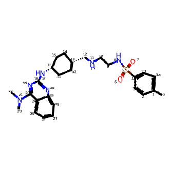 Cc1ccc(S(=O)(=O)NCCNC[C@H]2CC[C@@H](Nc3nc(N(C)C)c4ccccc4n3)CC2)cc1